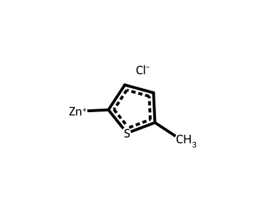 Cc1cc[c]([Zn+])s1.[Cl-]